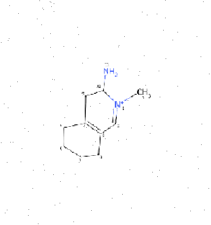 C[N+]1=CC2=C(CCCC2)CC1N